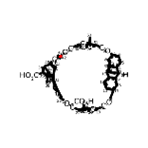 CC1=C[C@H]2c3ccc4cc3C1c1ccc(cc12)OCc1ccc(c(C(=O)O)c1)COc1ccc2c(c1)C1C(C(=O)O)=C(C)[C@@H]2c2cc(ccc21)OCc1ccc(c(C)c1)CO4